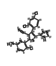 N#Cc1c(-c2nc(N)ncc2Cl)sc(-c2nnc[nH]2)c1-c1ccc(Cl)cc1Cl